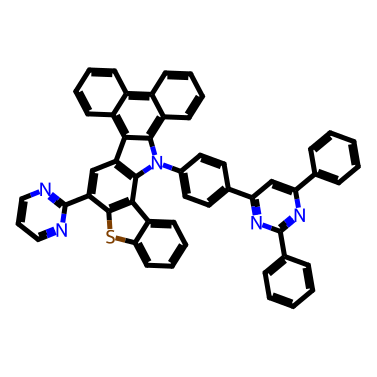 c1ccc(-c2cc(-c3ccc(-n4c5c(cc(-c6ncccn6)c6sc7ccccc7c65)c5c6ccccc6c6ccccc6c54)cc3)nc(-c3ccccc3)n2)cc1